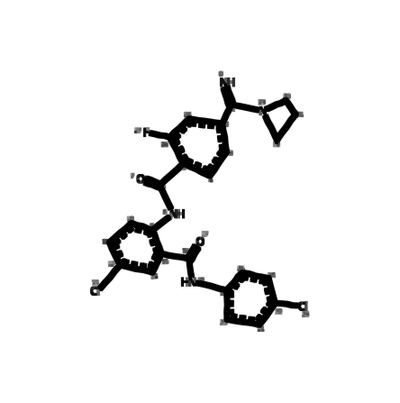 N=C(c1ccc(C(=O)Nc2ccc(Cl)cc2C(=O)Nc2ccc(Cl)cc2)c(F)c1)N1CCC1